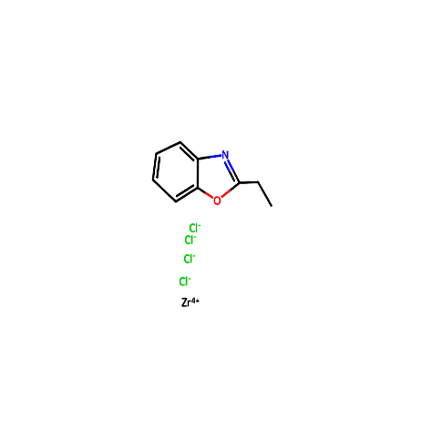 CCc1nc2ccccc2o1.[Cl-].[Cl-].[Cl-].[Cl-].[Zr+4]